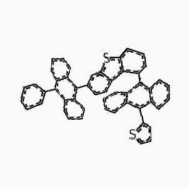 c1ccc(-c2c3ccccc3c(-c3ccc4c(c3)sc3cccc(-c5c6ccccc6c(-c6cccs6)c6ccccc56)c34)c3ccccc23)cc1